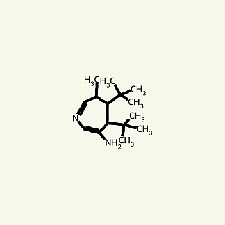 CC1C=NC=C(N)C(C(C)(C)C)C1C(C)(C)C